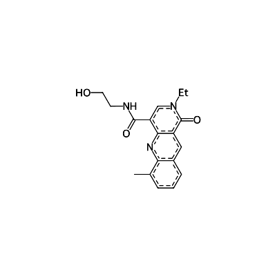 CCn1cc(C(=O)NCCO)c2nc3c(C)cccc3cc2c1=O